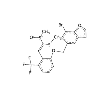 CSC(=Cc1c(OCc2cc(Br)c3occc3c2)cccc1C(F)(F)F)[S+](C)[O-]